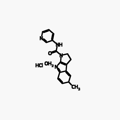 CC1C=CC2=NC3=C(CCN3C(=O)Nc3cccnc3)C2=C1.Cl.O